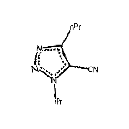 CCCc1nnn(C(C)C)c1C#N